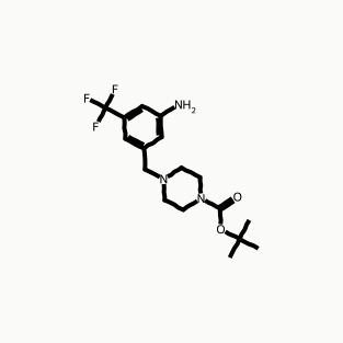 CC(C)(C)OC(=O)N1CCN(Cc2cc(N)cc(C(F)(F)F)c2)CC1